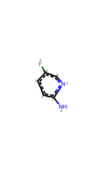 [NH]c1ccc(F)cn1